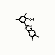 Cc1cc(C)c(O)c(-n2nc3cc(F)c(F)cc3n2)c1